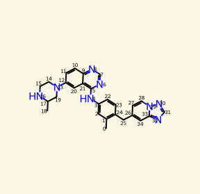 Cc1cc(Nc2ncnc3ccc(N4CCNC(C)C4)cc23)ccc1Cc1ccn2ncnc2c1